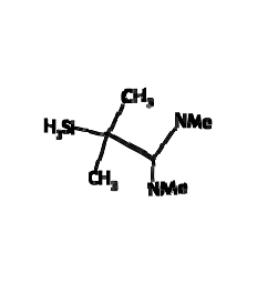 CNC(NC)C(C)(C)[SiH3]